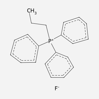 CCC[P+](c1ccccc1)(c1ccccc1)c1ccccc1.[F-]